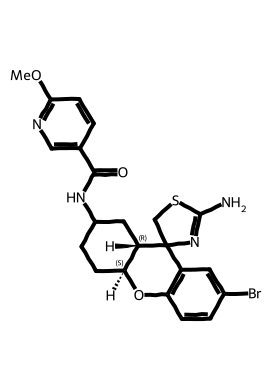 COc1ccc(C(=O)NC2CC[C@@H]3Oc4ccc(Br)cc4C4(CSC(N)=N4)[C@H]3C2)cn1